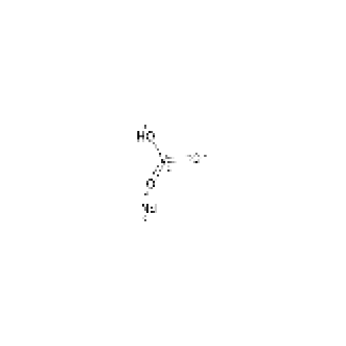 [Nd].[O]=[V](=[O])[OH]